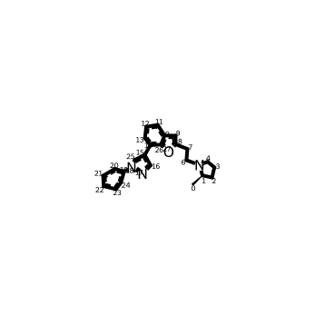 C[C@@H]1CCCN1CCc1cc2cccc(-c3cnn(-c4ccccc4)c3)c2o1